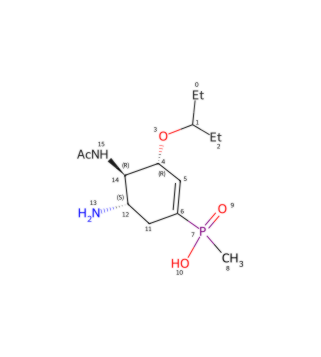 CCC(CC)O[C@@H]1C=C(P(C)(=O)O)C[C@H](N)[C@H]1NC(C)=O